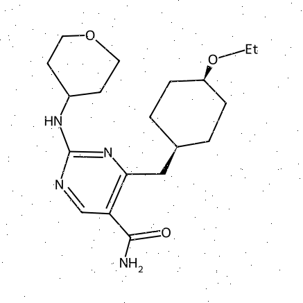 CCO[C@H]1CC[C@@H](Cc2nc(NC3CCOCC3)ncc2C(N)=O)CC1